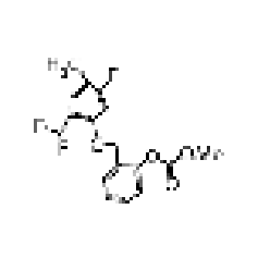 COC(=O)Oc1ccccc1COc1cc(F)c(C)cc1C(F)F